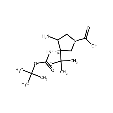 CC(C)(C)OC(=O)N[C@@]1(C(C)(C)C)CN(C(=O)O)CC1N